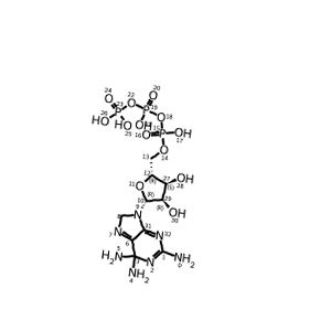 NC1=NC(N)(N)C2=NCN([C@@H]3O[C@H](COP(=O)(O)OP(=O)(O)OP(=O)(O)O)[C@@H](O)[C@H]3O)C2=N1